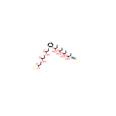 CCC(=O)O.CCC(=O)O.CCC(=O)O.CCC(=O)O.CCC(=O)O.CCC(=O)O.CCC(=O)[O-].N.S.S.S.[Na+].c1ccccc1